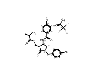 CC(N)C(=O)OCN1C(=O)N(Cc2ccc(Cl)cc2)SC1NC(=O)c1ccc(Cl)cc1.O=C(O)C(F)(F)F